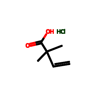 C=CC(C)(C)C(=O)O.Cl